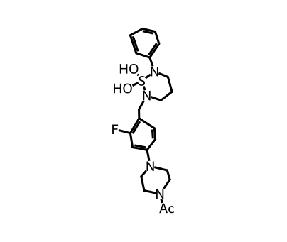 CC(=O)N1CCN(c2ccc(CN3CCCN(c4ccccc4)S3(O)O)c(F)c2)CC1